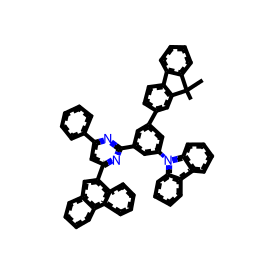 CC1(C)c2ccccc2-c2ccc(-c3cc(-c4nc(-c5ccccc5)cc(-c5cc6ccccc6c6ccccc56)n4)cc(-n4c5ccccc5c5ccccc54)c3)cc21